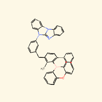 Cc1c(Cc2cccc(-n3c4ccccc4n4c5ccccc5nc34)c2)ccc(-c2ccccc2)c1B1c2ccccc2Oc2ccccc21